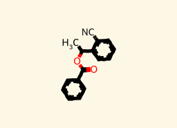 CC(OC(=O)c1ccccc1)c1ccccc1C#N